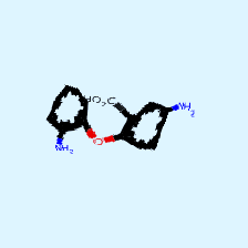 Nc1ccc(Oc2ccccc2N)c(C(=O)O)c1